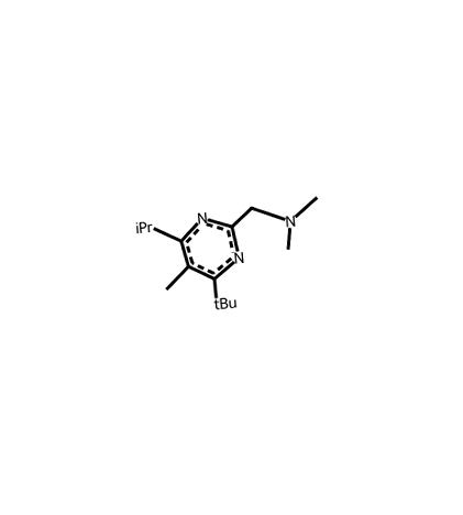 Cc1c(C(C)C)nc(CN(C)C)nc1C(C)(C)C